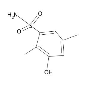 Cc1cc(O)c(C)c(S(N)(=O)=O)c1